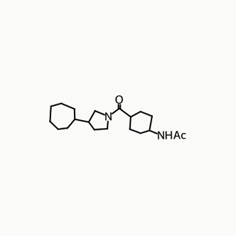 CC(=O)NC1CCC(C(=O)N2CCC(C3CCCCCC3)C2)CC1